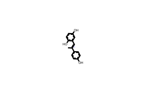 C/C(=C\c1cc(O)ccc1O)c1ccc(O)cc1